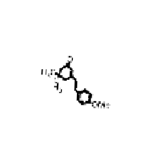 COc1ccc(C=CC2=CC(=O)CC(C)(C)C2)cc1